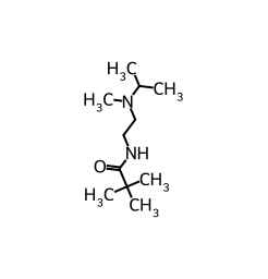 CC(C)N(C)CCNC(=O)C(C)(C)C